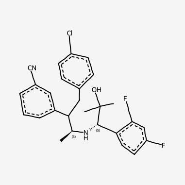 C[C@H](N[C@@H](c1ccc(F)cc1F)C(C)(C)O)C(Cc1ccc(Cl)cc1)c1cccc(C#N)c1